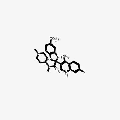 CN1CCC(N(C)C(=O)C2(c3c(N)c4ccc(F)cc4[nH]c3=O)Nc3ccc(C(=O)O)cc3N2)CC1